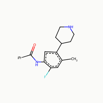 Cc1cc(F)c(NC(=O)C(C)C)cc1C1CCNCC1